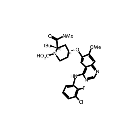 CNC(=O)[C@]1(C(C)(C)C)C[C@H](Oc2cc3c(Nc4cccc(Cl)c4F)ncnc3cc2OC)CCN1C(=O)O